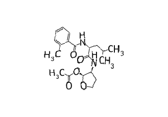 CC(=O)O[C@@H]1OCC[C@@H]1NC(=O)C(CC(C)C)NC(=O)c1ccccc1C